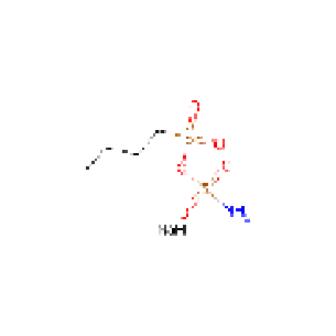 CCCCS(=O)(=O)OS(N)(=O)=O.[NaH]